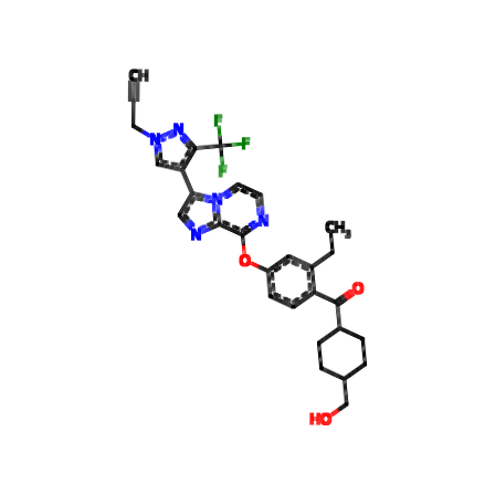 C#CCn1cc(-c2cnc3c(Oc4ccc(C(=O)C5CCC(CO)CC5)c(CC)c4)nccn23)c(C(F)(F)F)n1